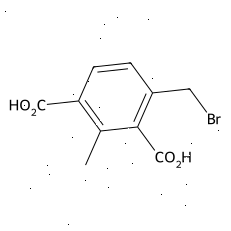 Cc1c(C(=O)O)ccc(CBr)c1C(=O)O